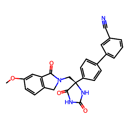 COc1ccc2c(c1)C(=O)N(C[C@@]1(c3ccc(-c4cccc(C#N)c4)cc3)NC(=O)NC1=O)C2